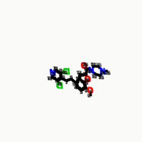 COc1ccc(CCc2c(Cl)cncc2Cl)c2cc(C(=O)N3CCN(C)CC3)oc12